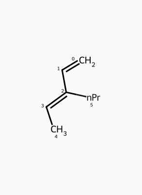 C=C/C(=C/C)CCC